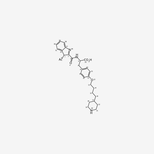 CC(=O)C1C(C(=O)NC(Cc2ccc(OCCCCC3CCNCC3)cc2)C(=O)O)=Nc2ccccc21